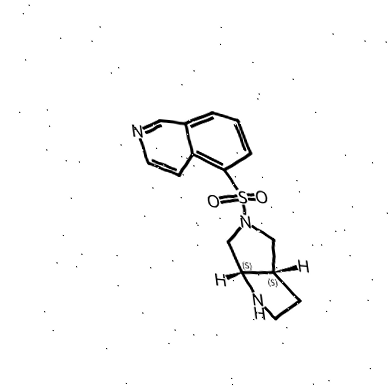 O=S(=O)(c1cccc2cnccc12)N1C[C@@H]2CCN[C@@H]2C1